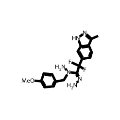 COc1ccc(CN(N)/C(=N\N)C(F)(F)c2ccc3c(C)n[nH]c3c2)cc1